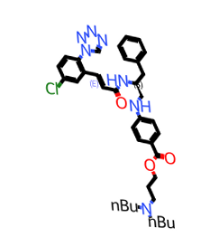 CCCCN(CCCC)CCCOC(=O)c1ccc(NC[C@H](Cc2ccccc2)NC(=O)/C=C/c2cc(Cl)ccc2-n2cnnn2)cc1